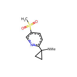 CNC1(c2ccc(S(C)(=O)=O)cn2)CC1